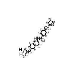 CN(C)Cc1ccc2c(c1)CC[C@H](NC(=O)c1ccc(OC[C@@H]3CCCO3)cc1)C2